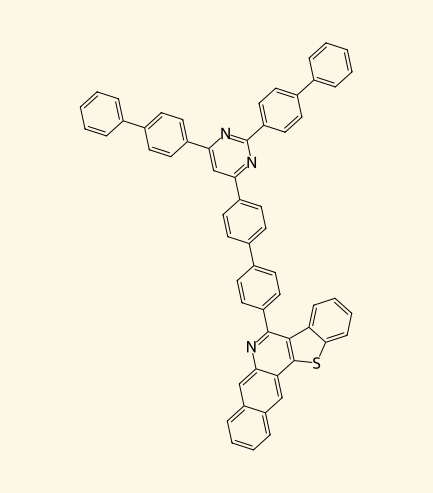 c1ccc(-c2ccc(-c3cc(-c4ccc(-c5ccc(-c6nc7cc8ccccc8cc7c7sc8ccccc8c67)cc5)cc4)nc(-c4ccc(-c5ccccc5)cc4)n3)cc2)cc1